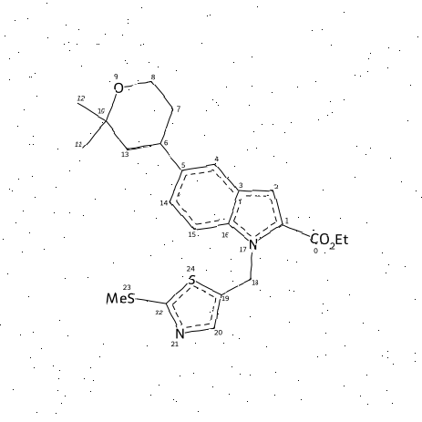 CCOC(=O)c1cc2cc(C3CCOC(C)(C)C3)ccc2n1Cc1cnc(SC)s1